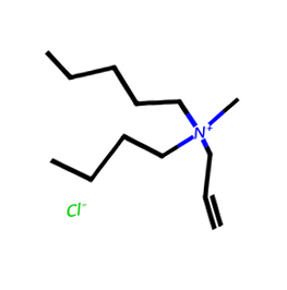 C=CC[N+](C)(CCCC)CCCCC.[Cl-]